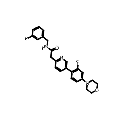 O=C(Cc1ccc(-c2ccc(N3CCOCC3)cc2F)cn1)NCc1cccc(F)c1